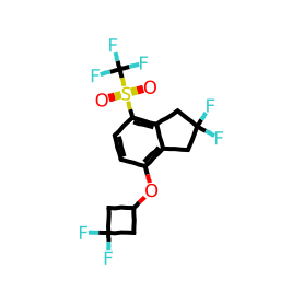 O=S(=O)(c1ccc(OC2CC(F)(F)C2)c2c1CC(F)(F)C2)C(F)(F)F